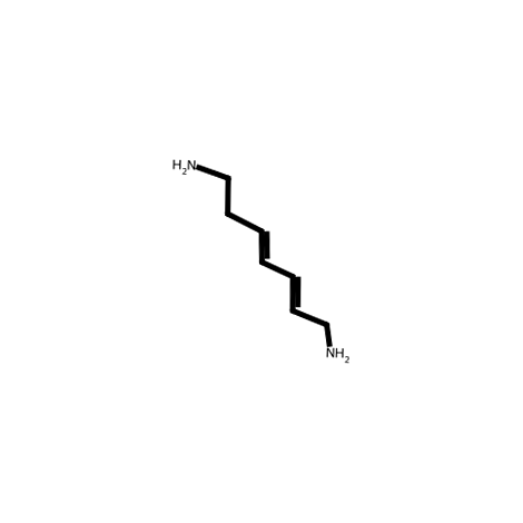 NCC=CC=CCCN